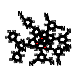 N#Cc1ccc(-c2ccc(-n3c4ccc(-c5cc(C#N)cc(C#N)c5)cc4c4cc(-c5cc(C#N)cc(C#N)c5)ccc43)c(-c3cc(-c4nc(-c5ccccc5)nc(-c5ccccc5)n4)ccc3-n3c4ccc(-c5cc(C#N)cc(C#N)c5)cc4c4cc(-c5cc(C#N)cc(C#N)c5)ccc43)c2)cc1